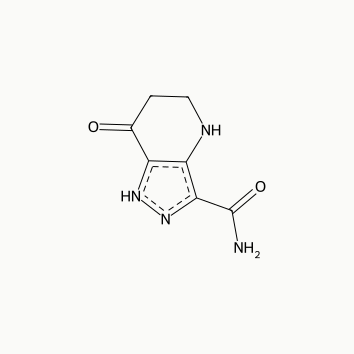 NC(=O)c1n[nH]c2c1NCCC2=O